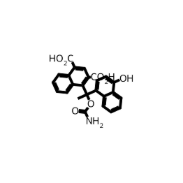 CC(OC(N)=O)(c1ccc(O)c2ccccc12)c1c(C(=O)O)cc(C(=O)O)c2ccccc12